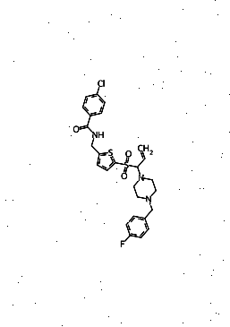 C=CC(N1CCN(Cc2ccc(F)cc2)CC1)S(=O)(=O)c1ccc(CNC(=O)c2ccc(Cl)cc2)s1